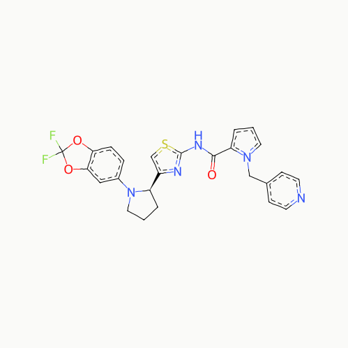 O=C(Nc1nc([C@H]2CCCN2c2ccc3c(c2)OC(F)(F)O3)cs1)c1cccn1Cc1ccncc1